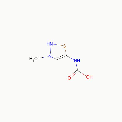 CN1C=C(NC(=O)O)SN1